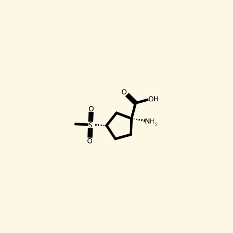 CS(=O)(=O)[C@H]1CC[C@](N)(C(=O)O)C1